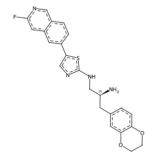 N[C@H](CNc1ncc(-c2ccc3cnc(F)cc3c2)s1)Cc1ccc2c(c1)OCCO2